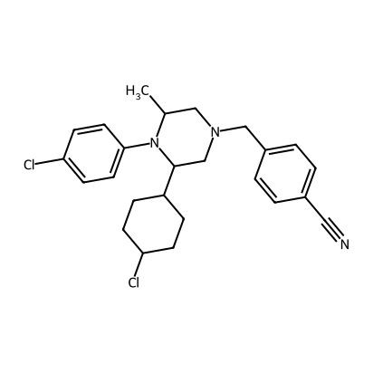 CC1CN(Cc2ccc(C#N)cc2)CC(C2CCC(Cl)CC2)N1c1ccc(Cl)cc1